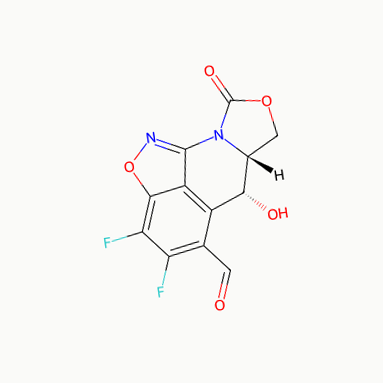 O=Cc1c(F)c(F)c2onc3c2c1[C@@H](O)[C@H]1COC(=O)N31